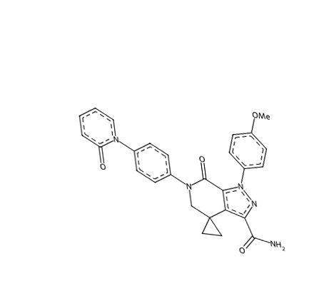 COc1ccc(-n2nc(C(N)=O)c3c2C(=O)N(c2ccc(-n4ccccc4=O)cc2)CC32CC2)cc1